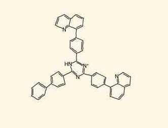 c1ccc(-c2ccc(C3=NC(c4ccc(-c5cccc6cccnc56)cc4)=[N+]=C(c4ccc(-c5cccc6cccnc56)cc4)N3)cc2)cc1